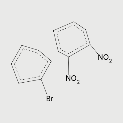 Brc1ccccc1.O=[N+]([O-])c1ccccc1[N+](=O)[O-]